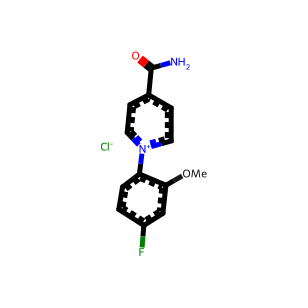 COc1cc(F)ccc1-[n+]1ccc(C(N)=O)cc1.[Cl-]